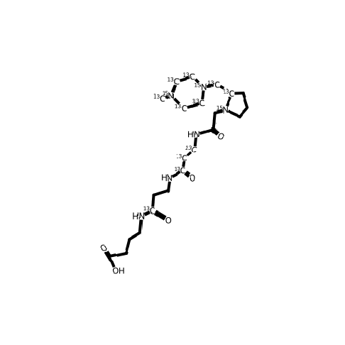 [13CH3][15N]1[13CH2][13CH2][15N]([13CH2][13CH]2CCC[15N]2CC(=O)N[13CH2][13CH2][13C](=O)NCC[13C](=O)NCCCC(=O)O)[13CH2][13CH2]1